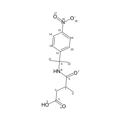 CC(CC(=O)O)C(=O)NC(C)(C)c1ccc([N+](=O)[O-])cc1